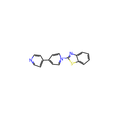 c1ccc2sc(-[n+]3ccc(-c4ccncc4)cc3)nc2c1